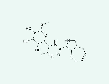 CSC1OC(C(NC(=O)C2NCC3CC=CCOC32)C(C)Cl)C(O)C(O)C1O